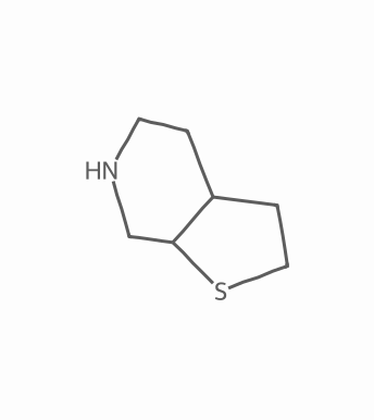 C1CC2CCSC2CN1